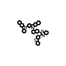 c1ccc2cc3c(cc2c1)c1ccccc1n3-c1ccc2c3cc4ccccc4cc3n(-c3cccc4cc(-c5nc6ccccc6nc5-c5ccc6sc7ccccc7c6c5)ccc34)c2c1